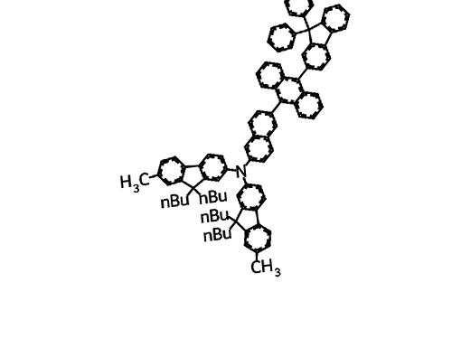 CCCCC1(CCCC)c2cc(C)ccc2-c2ccc(N(c3ccc4c(c3)C(CCCC)(CCCC)c3cc(C)ccc3-4)c3ccc4cc(-c5c6ccccc6c(-c6ccc7c(c6)C(c6ccccc6)(c6ccccc6)c6ccccc6-7)c6ccccc56)ccc4c3)cc21